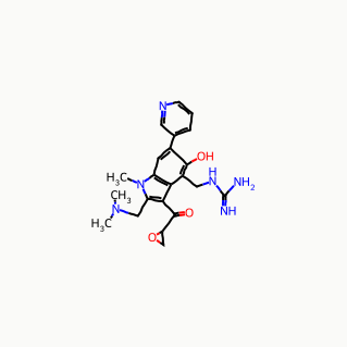 CN(C)Cc1c(C(=O)C2CO2)c2c(CNC(=N)N)c(O)c(-c3cccnc3)cc2n1C